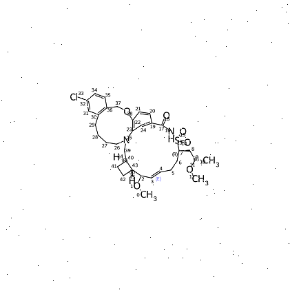 COC1/C=C/CC[C@H](C[C@H](C)OC)S(=O)(=O)NC(=O)c2ccc3c(c2)N(CCCCc2cc(Cl)ccc2CO3)C[C@@H]2CC[C@@H]12